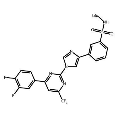 CC(C)(C)NS(=O)(=O)c1cccc(-c2cn(-c3nc(-c4ccc(F)c(F)c4)cc(C(F)(F)F)n3)cn2)c1